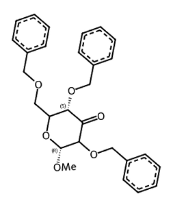 CO[C@@H]1OC(COCc2ccccc2)[C@H](OCc2ccccc2)C(=O)C1OCc1ccccc1